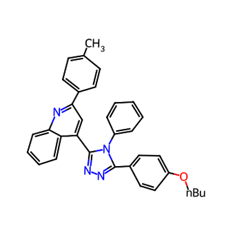 CCCCOc1ccc(-c2nnc(-c3cc(-c4ccc(C)cc4)nc4ccccc34)n2-c2ccccc2)cc1